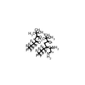 CC(C)(C)C(=O)CC(=O)C(F)(F)C(F)(F)C(F)(F)F.CC(C)(C)C(=O)CC(=O)C(F)(F)C(F)(F)C(F)(F)F.NCCN